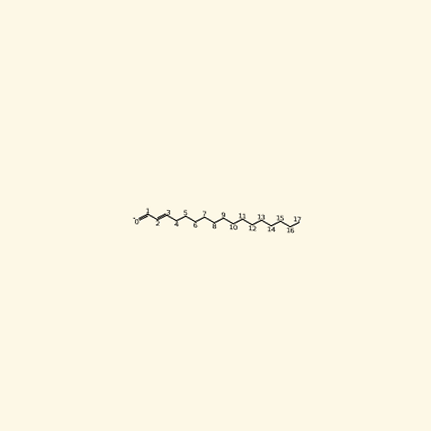 [CH]=CC=CCCCCCCCCCCCCCC